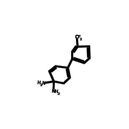 NC1(N)C=CC(c2cccc(C(F)(F)F)c2)=CC1